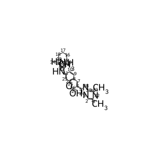 Cc1cn2cc(C3=Cc4ccc(N[C@@H]5C[C@H]6CCC[C@@H](C5)N6C)cc4OC3O)nc2c(C)n1